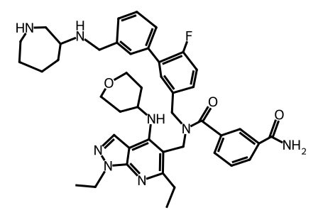 CCc1nc2c(cnn2CC)c(NC2CCOCC2)c1CN(Cc1ccc(F)c(-c2cccc(CNC3CCCCNC3)c2)c1)C(=O)c1cccc(C(N)=O)c1